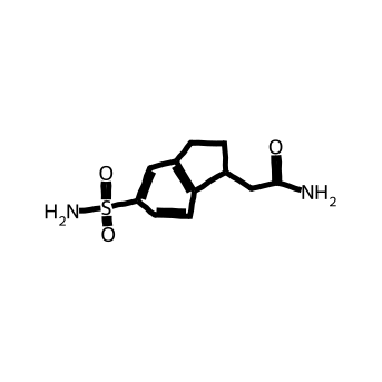 NC(=O)CC1CCc2cc(S(N)(=O)=O)ccc21